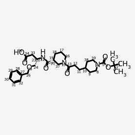 CC(C)(C)OC(=O)N1CCC(CCC(=O)N2CCC[C@@H](C(=O)N[C@H](COCc3ccccc3)CC(=O)O)C2)CC1